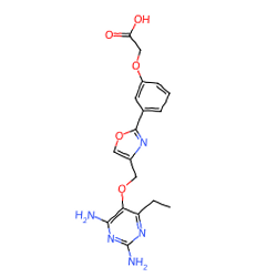 CCc1nc(N)nc(N)c1OCc1coc(-c2cccc(OCC(=O)O)c2)n1